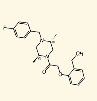 C[C@@H]1CN(C(=O)COc2ccccc2CO)[C@@H](C)CN1Cc1ccc(F)cc1